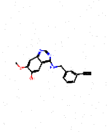 C#Cc1cccc(CNc2ncnc3cc(OC)c(O)cc23)c1